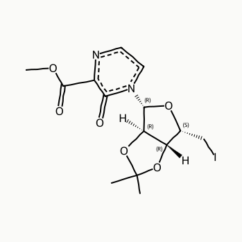 COC(=O)c1nccn([C@@H]2O[C@H](CI)[C@@H]3OC(C)(C)O[C@H]32)c1=O